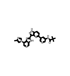 Cc1cn(-c2cncc3[nH]c(-c4n[nH]c5ccc(-c6cncc(NC(=O)C(C)(C)C)c6)nc45)nc23)cn1